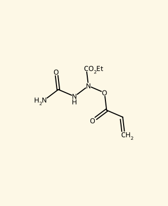 C=CC(=O)ON(NC(N)=O)C(=O)OCC